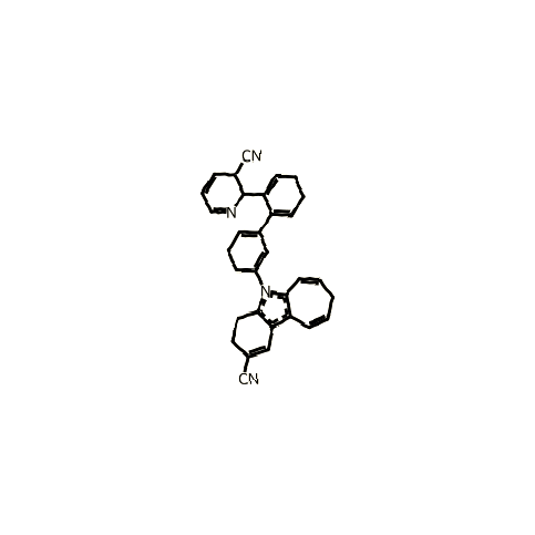 N#CC1=Cc2c3c(n(C4=CC(C5=CCCC=C5C5N=CC=CC5C#N)=CCC4)c2CC1)C=CCC=C3